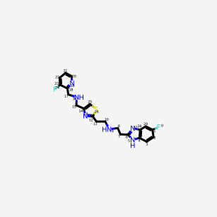 Fc1ccc2[nH]c(CCNCCc3nc(CNCc4ncccc4F)cs3)nc2c1